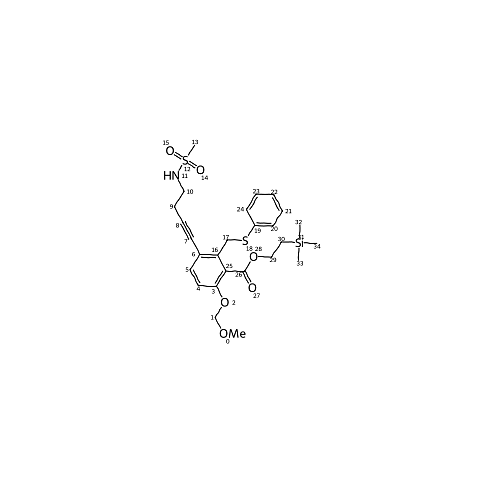 COCOc1ccc(C#CCCNS(C)(=O)=O)c(CSc2ccccc2)c1C(=O)OCC[Si](C)(C)C